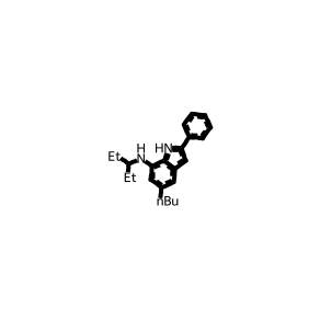 CCCCc1cc(NC(CC)CC)c2[nH]c(-c3ccccc3)cc2c1